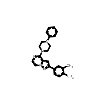 Cc1ccc(-c2cc3c(N4CCN(c5ccccc5)CC4)nccn3n2)cc1C